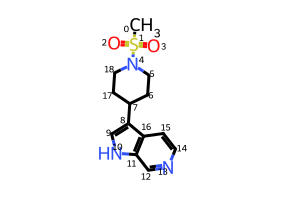 CS(=O)(=O)N1CCC(c2c[nH]c3cnccc23)CC1